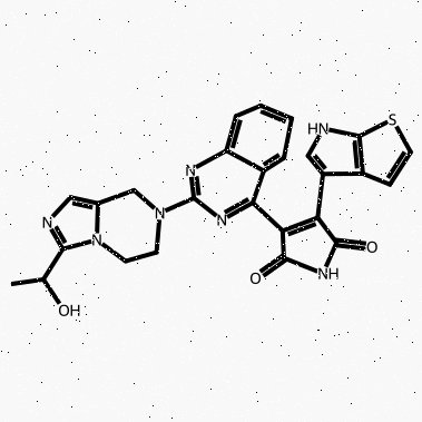 CC(O)c1ncc2n1CCN(c1nc(C3=C(c4c[nH]c5sccc45)C(=O)NC3=O)c3ccccc3n1)C2